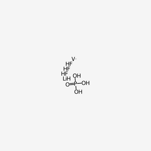 F.F.F.O=P(O)(O)O.[LiH].[V]